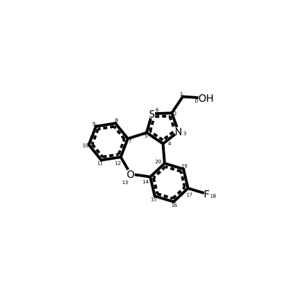 OCc1nc2c(s1)-c1ccccc1Oc1ccc(F)cc1-2